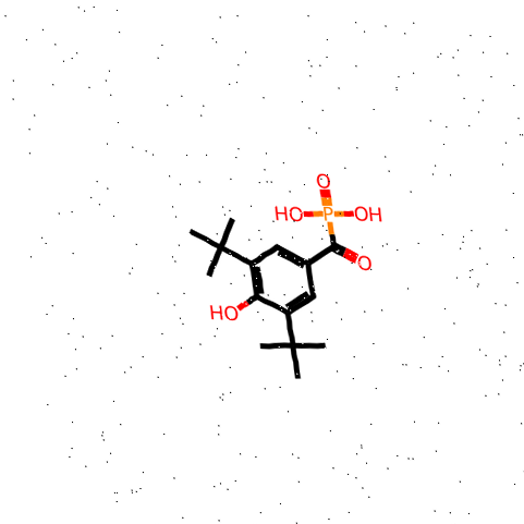 CC(C)(C)c1cc(C(=O)P(=O)(O)O)cc(C(C)(C)C)c1O